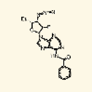 CC[C@H]1O[C@@H](n2cnc3c(NC(=O)c4ccccc4)ncnc32)[C@H](F)[C@@H]1N=[N+]=[N-]